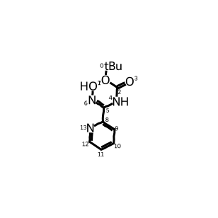 CC(C)(C)OC(=O)NC(=NO)c1ccccn1